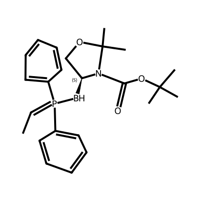 CC=P(B[C@H]1COC(C)(C)N1C(=O)OC(C)(C)C)(c1ccccc1)c1ccccc1